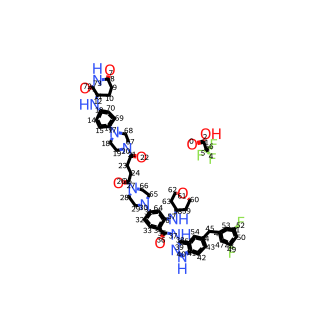 O=C(O)C(F)(F)F.O=C1CCC(Nc2ccc(N3CCN(C(=O)CCC(=O)N4CCN(c5ccc(C(=O)Nc6n[nH]c7ccc(Cc8cc(F)cc(F)c8)cc67)c(NC6CCOCC6)c5)CC4)CC3)cc2)C(=O)N1